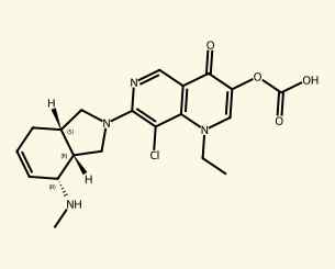 CCn1cc(OC(=O)O)c(=O)c2cnc(N3C[C@H]4CC=C[C@@H](NC)[C@H]4C3)c(Cl)c21